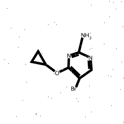 Nc1ncc(Br)c(OC2CC2)n1